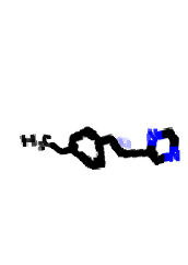 CCc1ccc(/C=C/c2cnccn2)cc1